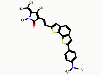 CN1C(=O)C(/C=C/c2cc3ccc4cc(-c5ccc(N(C)C)cc5)sc4c3s2)=C(C#N)C1=C(C#N)C#N